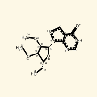 O=c1[nH]cnc2c1cnn2[C@@H]1O[C@H](CO)[C@@H](O[SiH3])[C@H]1O[SiH3]